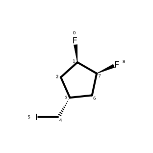 F[C@@H]1C[C@@H](CI)C[C@@H]1F